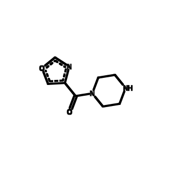 O=C(c1cocn1)N1CCNCC1